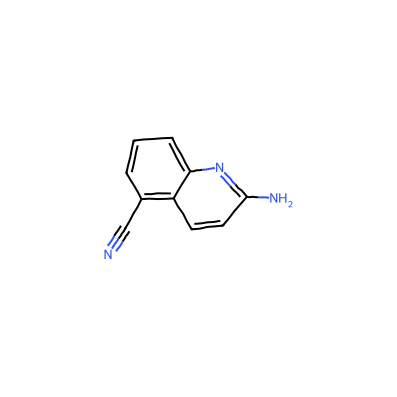 N#Cc1cccc2nc(N)ccc12